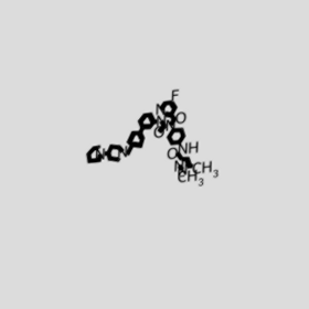 Cc1cc(C(=O)N[C@H]2CC[C@@H](n3c(=O)c4cc(F)cnc4n(-c4cccc(-c5ccc(CN6CCC(N7CCCCC7)CC6)cc5)c4)c3=O)CC2)nn1C